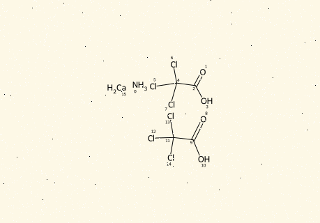 N.O=C(O)C(Cl)(Cl)Cl.O=C(O)C(Cl)(Cl)Cl.[CaH2]